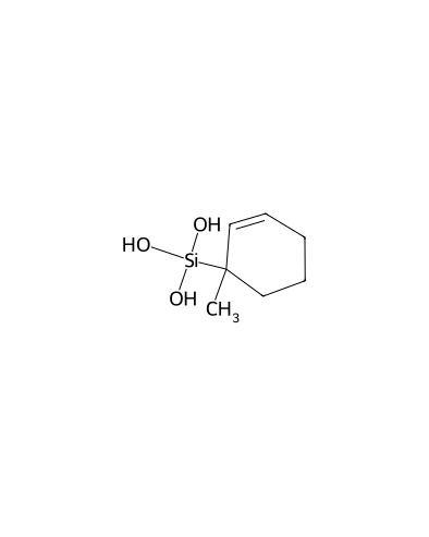 CC1([Si](O)(O)O)C=CCCC1